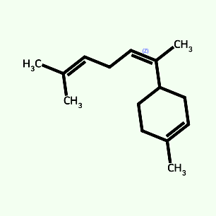 CC(C)=CC/C=C(/C)C1CC=C(C)CC1